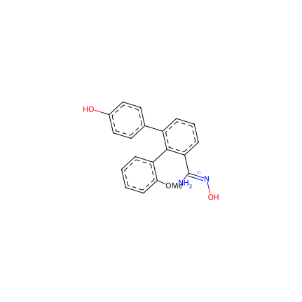 COc1ccccc1-c1c(/C(N)=N/O)cccc1-c1ccc(O)cc1